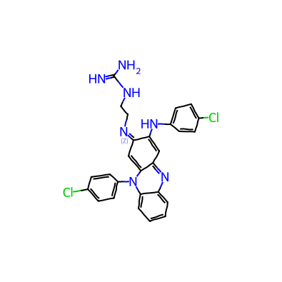 N=C(N)NCC/N=c1/cc2n(-c3ccc(Cl)cc3)c3ccccc3nc-2cc1Nc1ccc(Cl)cc1